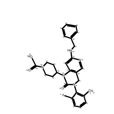 Cc1cccc(F)c1N1Cc2cnc(NCc3ccccc3)cc2N(C2CCN(C(=O)O)CC2)C1=O